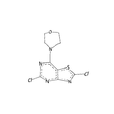 Clc1nc(N2CCOCC2)c2sc(Cl)nc2n1